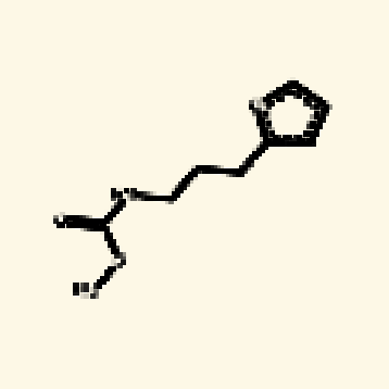 CC(C)(C)OC(=O)NCCCc1ccco1